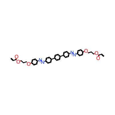 C=CC(=O)OCCCOc1ccc(/N=N/c2ccc(-c3ccc(-c4ccc(/N=N/c5ccc(OCCCOC(=O)C=C)cc5)cc4)cc3)cc2)cc1